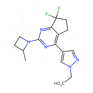 CC1CCN1c1nc(-c2cnn(CC(=O)O)c2)c2c(n1)C(F)(F)CC2